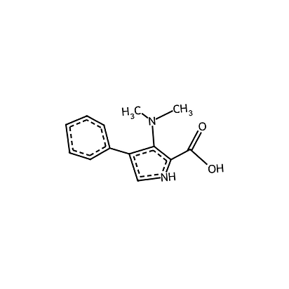 CN(C)c1c(-c2ccccc2)c[nH]c1C(=O)O